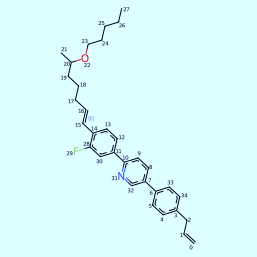 C=CCc1ccc(-c2ccc(-c3ccc(/C=C/CCCC(C)OCCCCC)c(F)c3)nc2)cc1